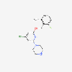 N#Cc1cccc(F)c1COc1cc(Cl)cc(N2CCNCC2)n1